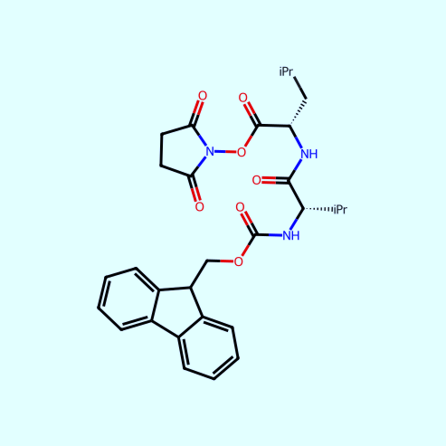 CC(C)C[C@H](NC(=O)[C@@H](NC(=O)OCC1c2ccccc2-c2ccccc21)C(C)C)C(=O)ON1C(=O)CCC1=O